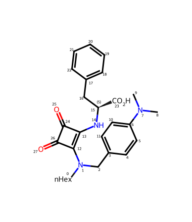 CCCCCCN(Cc1ccc(N(C)C)cc1)c1c(N[C@@H](Cc2ccccc2)C(=O)O)c(=O)c1=O